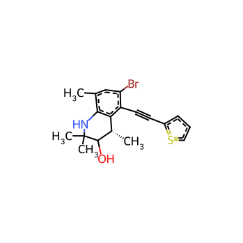 Cc1cc(Br)c(C#Cc2cccs2)c2c1NC(C)(C)C(O)[C@H]2C